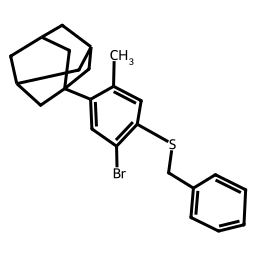 Cc1cc(SCc2ccccc2)c(Br)cc1C12CC3CC(CC(C3)C1)C2